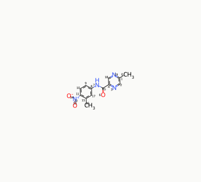 Cc1cnc(C(=O)Nc2ccc([N+](=O)[O-])c(C)c2)cn1